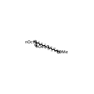 CCCCCCCCOC(CCCCCCOCCCCCCOOC)OCCCCCCCC